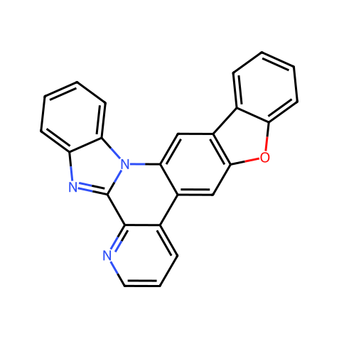 c1ccc2c(c1)nc1c3ncccc3c3cc4oc5ccccc5c4cc3n21